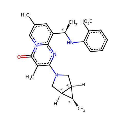 Cc1cc([C@@H](C)Nc2ccccc2C(=O)O)c2nc(N3C[C@@H]4[C@H](C3)[C@@H]4C(F)(F)F)c(C)c(=O)n2c1